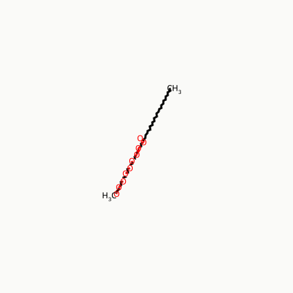 CCCCCCCCCCCCCCCCCCCCCCCCC(=O)OCCOCCOCCOCCOCCOCCOCCOCCOC